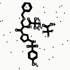 Cc1ccc(S(=O)(=O)NC2CCN(C(=O)C(COCc3ccccc3)NC(=O)C(C)(C)N)C2)cc1.O=C(O)C(F)(F)F